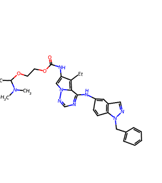 CCc1c(NC(=O)OCCOC(C)N(C)C)cn2ncnc(Nc3ccc4c(cnn4Cc4ccccc4)c3)c12